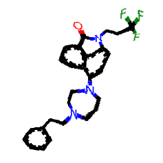 O=C1c2cccc3c(N4CCCN(CCc5ccccc5)CC4)ccc(c23)N1CCC(F)(F)F